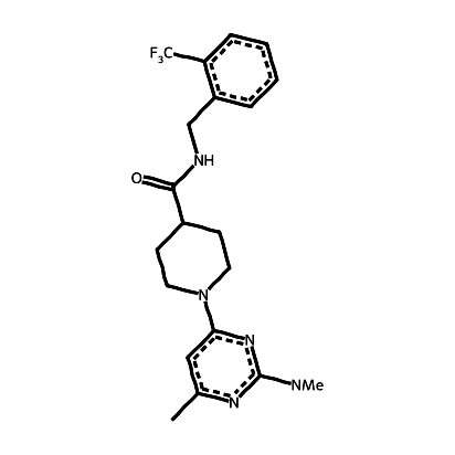 CNc1nc(C)cc(N2CCC(C(=O)NCc3ccccc3C(F)(F)F)CC2)n1